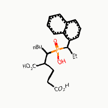 CCCCC(C(CCC(=O)O)C(=O)O)P(=O)(O)C(CC)c1cccc2ccccc12